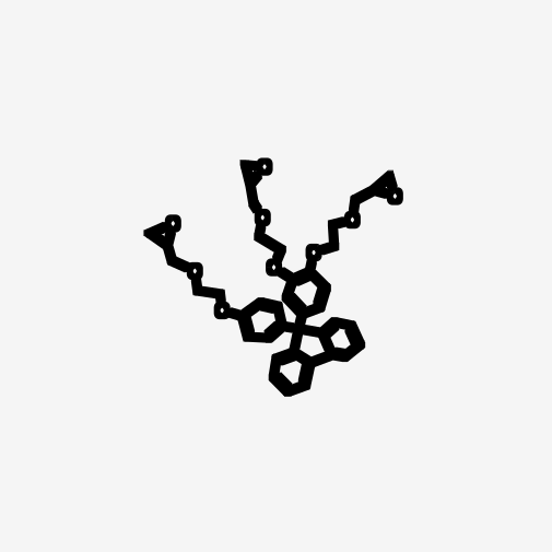 c1ccc2c(c1)-c1ccccc1C2(c1ccc(OCCOCC2CO2)cc1)c1ccc(OCCOCC2CO2)c(OCCOCC2CO2)c1